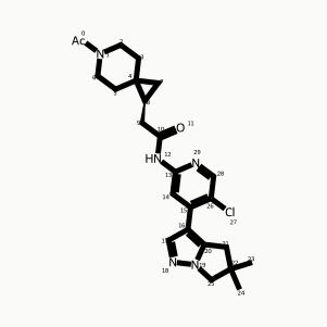 CC(=O)N1CCC2(CC1)C[C@H]2CC(=O)Nc1cc(-c2cnn3c2CC(C)(C)C3)c(Cl)cn1